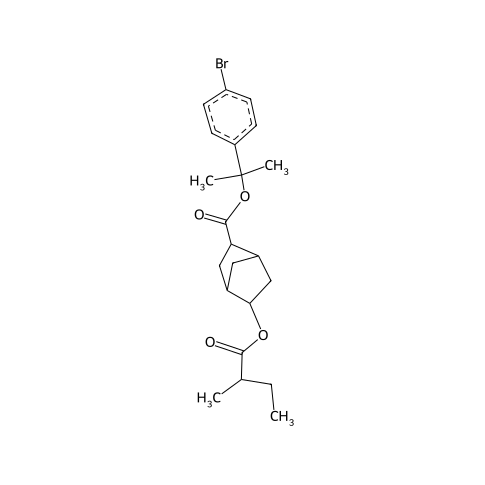 CCC(C)C(=O)OC1CC2CC1CC2C(=O)OC(C)(C)c1ccc(Br)cc1